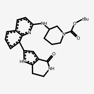 CC(C)(C)OC(=O)N1CCCC(Nc2ccc3cccc(-c4cc5c([nH]4)CCNC5=O)c3n2)C1